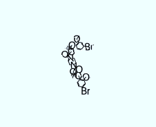 COc1cc(Br)ccc1O[C@@H](C)OC(=O)N1CCN(C(=O)O[C@H](C)Oc2ccc(Br)cc2OC)CC1